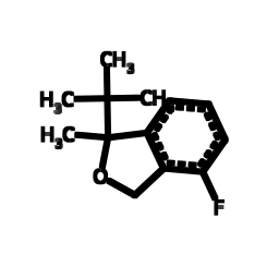 CC(C)(C)C1(C)OCc2c(F)cccc21